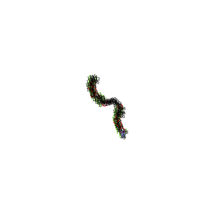 C=C/C(C(=C)F)=C(F)/C(F)=C(\CF)OCC(F)(F)CC(F)(F)C(F)(F)OC(F)(F)C(F)(F)OC(F)(F)COc1c(F)c(F)c(-c2c(F)c(F)c(Oc3ccc(C(C)(C)c4cccc(C(C)(C)c5ccc(Oc6c(F)c(F)c(-c7c(F)c(F)c(OCC(F)(F)OC(F)(F)C(F)(F)OC(F)(F)C(F)(F)OC(F)(F)COc8c(F)c(F)c(C=C)c(F)c8F)c(F)c7F)c(F)c6F)cc5)c4)cc3)c(F)c2F)c(F)c1F